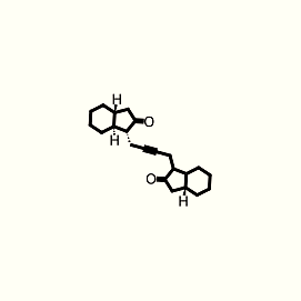 O=C1C[C@H]2CCCCC2C1CC#CC[C@H]1C(=O)C[C@H]2CCCC[C@@H]21